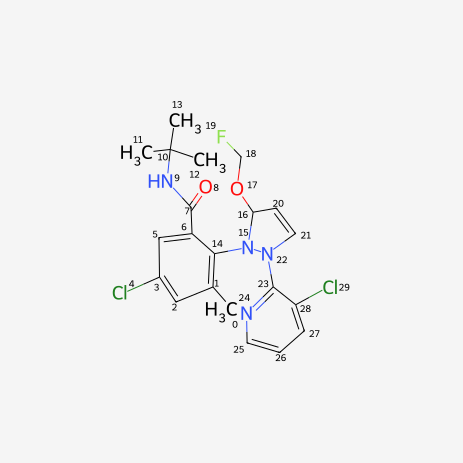 Cc1cc(Cl)cc(C(=O)NC(C)(C)C)c1N1C(OCF)C=CN1c1ncccc1Cl